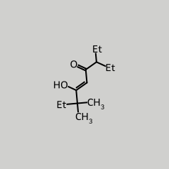 CCC(CC)C(=O)/C=C(\O)C(C)(C)CC